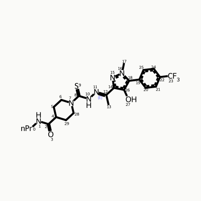 CCCNC(=O)C1CCN(C(=S)N/N=C(\C)c2nn(C)c(-c3ccc(C(F)(F)F)cc3)c2O)CC1